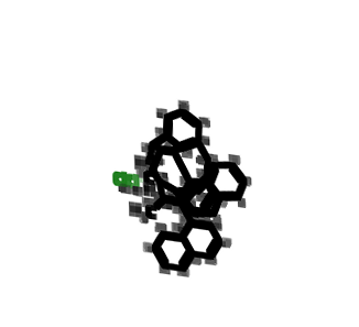 CC1=C(c2cccc3ccccc23)c2c3cccc2[CH]1[Hf+2][CH]1C(C)=C(c2cccc4ccccc24)c2c(cccc21)C3.[Cl-].[Cl-]